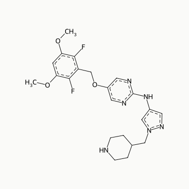 COc1cc(OC)c(F)c(COc2cnc(Nc3cnn(CC4CCNCC4)c3)nc2)c1F